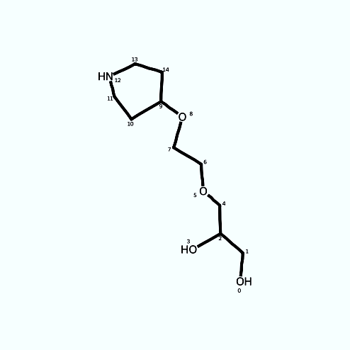 OCC(O)COCCOC1CCNCC1